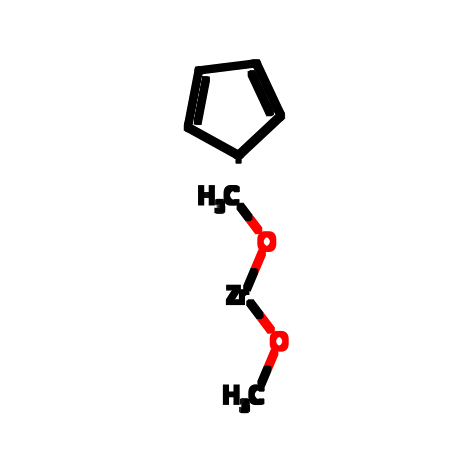 C[O][Zr][O]C.[CH]1C=CC=C1